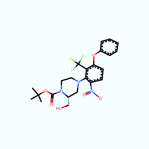 CC(C)(C)OC(=O)N1CCN(c2c([N+](=O)[O-])ccc(Oc3ccccc3)c2C(F)(F)F)C[C@@H]1CO